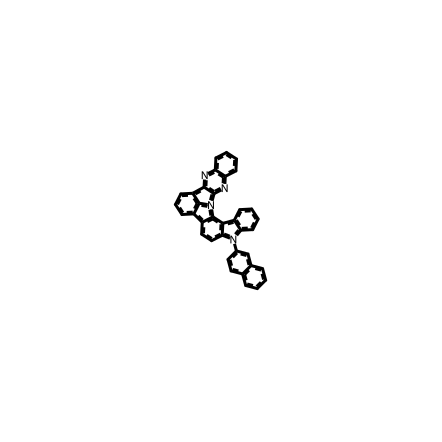 c1ccc2cc(-n3c4ccccc4c4c3ccc3c5cccc6c7nc8ccccc8nc7n(c56)c34)ccc2c1